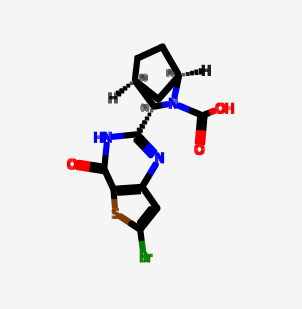 O=C(O)N1[C@@H]2CC[C@@H](C2)[C@H]1c1nc2cc(Br)sc2c(=O)[nH]1